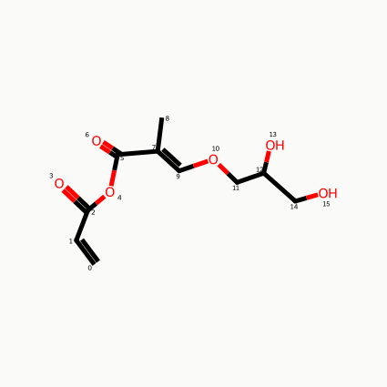 C=CC(=O)OC(=O)C(C)=COCC(O)CO